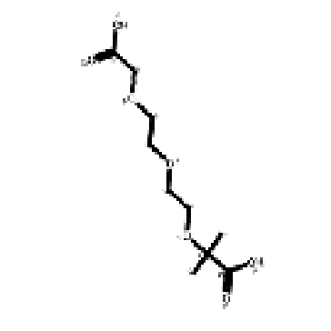 CC(C)(OCCOCCOCC(=O)O)C(=O)O